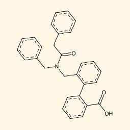 O=C(O)c1ccccc1-c1ccccc1CN(Cc1ccccc1)C(=O)Cc1ccccc1